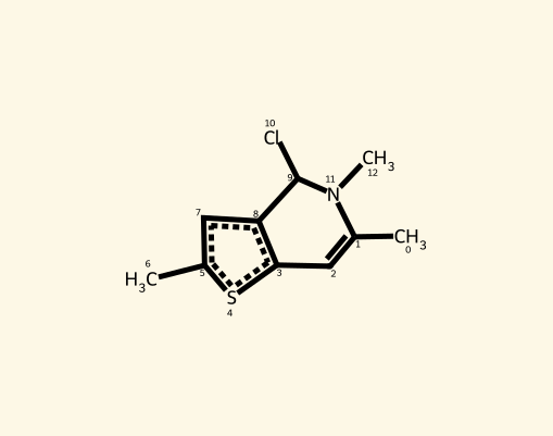 CC1=Cc2sc(C)cc2C(Cl)N1C